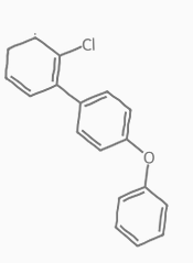 ClC1=C(c2ccc(Oc3ccccc3)cc2)C=CC[CH]1